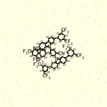 N#Cc1cc(-c2cc(-n3c4cc(-c5cc(C(F)(F)F)cc(C(F)(F)F)c5)ccc4c4ccc(-c5cc(C(F)(F)F)cc(C(F)(F)F)c5)cc43)c(C#N)cc2-n2c3cc(-c4cc(C(F)(F)F)cc(C(F)(F)F)c4)ccc3c3ccc(-c4cc(C(F)(F)F)cc(C(F)(F)F)c4)cc32)cc(C(F)(F)F)c1